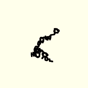 CCCOc1ccc(CN(C(=O)COc2ccc(CNCCCCc3ccccc3)cc2)[C@H]2CCCCNC2=O)cc1C